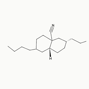 CCCCC1CCC2(C#N)C[C@H](CCC)CC[C@@H]2C1